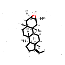 C/C=C1/CC[C@H]2[C@@H]3CC[C@@H]4C[C@H]5O[C@H]5C[C@@H]4[C@H]3CC[C@]12C